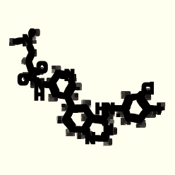 CN(C)CCS(=O)(=O)Nc1cncc(-c2ccc3ncnc(Nc4ccc(F)c(Cl)c4)c3c2)c1